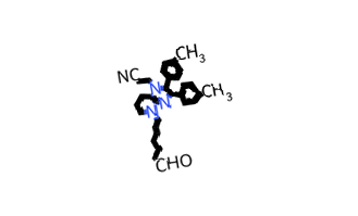 Cc1ccc(C2=NC3=C(CCCN3CCCCCCC=O)N(CCC#N)C2c2ccc(C)cc2)cc1